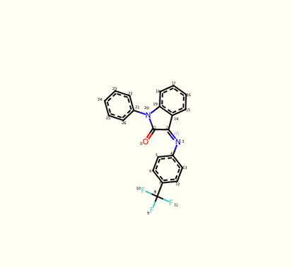 O=C1/C(=N\c2ccc(C(F)(F)F)cc2)c2ccccc2N1c1ccccc1